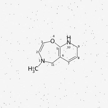 CN1C=COC2=C(C=CCN2)C1